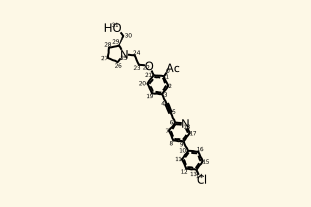 CC(=O)c1cc(C#Cc2ccc(-c3ccc(Cl)cc3)cn2)ccc1OCCN1CCC[C@H]1CO